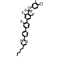 CCCCCc1cnc(-c2ccc(-c3ccc(-c4cc(F)c(C(F)(F)Oc5ccc(Cl)c(F)c5)c(F)c4)c(F)c3)cc2)nc1